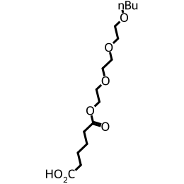 CCCCOCCOCCOCCOC(=O)CCCCC(=O)O